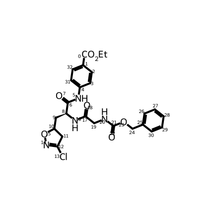 CCOC(=O)c1ccc(NC(=O)[C@H](CC2CC(Cl)=NO2)NC(=O)CNC(=O)OCc2ccccc2)cc1